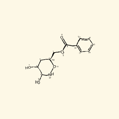 O=C(OC[C@@H]1CC(O)C(O)NO1)c1ccccc1